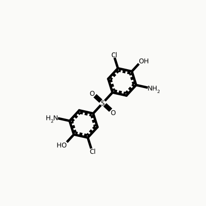 Nc1cc(S(=O)(=O)c2cc(N)c(O)c(Cl)c2)cc(Cl)c1O